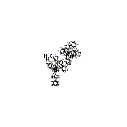 C=C/C=C\c1c(C)n(-c2ccccc2)c2c1cc(-c1cccc(-c3nc(-c4ccccc4)nc(-n4c5ccccc5c5ccc6c7ccccc7n(-c7ccccc7)c6c54)n3)c1)c1c3ccccc3n(-c3nc(-c4ccccc4)nc(-c4ccc(-c5ccccc5)cc4)n3)c12